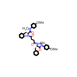 COc1ccc(N(C)C(=O)[C@H](Cc2ccccc2)NC(=O)CCC(=O)N[C@@H](Cc2ccccc2)C(=O)N(C)c2ccc(OC)cc2)cc1